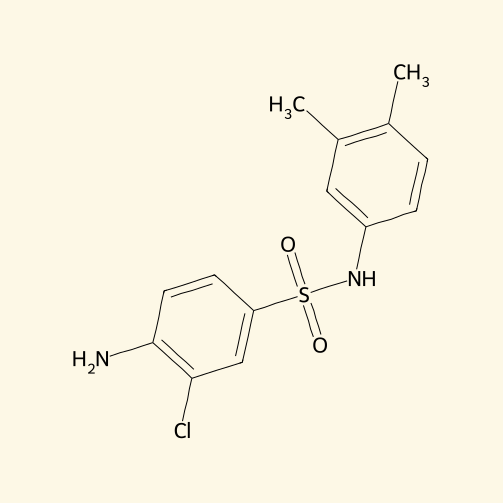 Cc1ccc(NS(=O)(=O)c2ccc(N)c(Cl)c2)cc1C